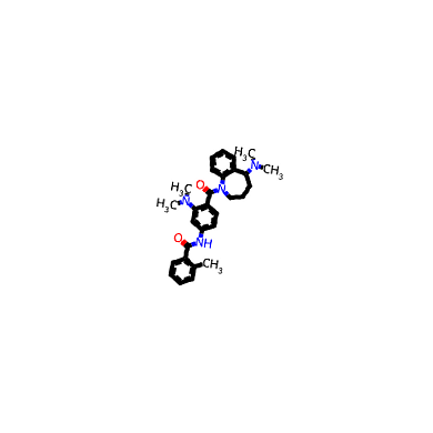 Cc1ccccc1C(=O)Nc1ccc(C(=O)N2CCCC(N(C)C)c3ccccc32)c(N(C)C)c1